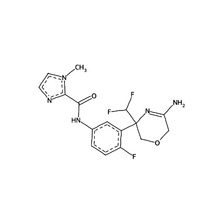 Cn1ccnc1C(=O)Nc1ccc(F)c(C2(C(F)F)COCC(N)=N2)c1